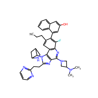 CN(C)C1CN(c2nc3c(F)c(-c4cc(O)cc5ccccc45)c(CCC#N)cc3c3c2nc(CCc2ncccn2)n3C2C3CNC2C3)C1